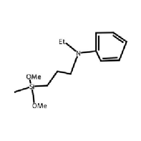 CCN(CCC[Si](C)(OC)OC)c1ccccc1